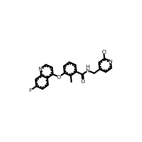 Cc1c(Oc2ccnc3cc(F)ccc23)cccc1C(=O)NCc1ccnc(Cl)c1